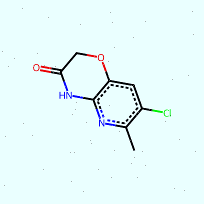 Cc1nc2c(cc1Cl)OCC(=O)N2